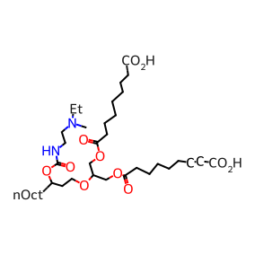 CCCCCCCCC(CCOC(COC(=O)CCCCCCCC(=O)O)COC(=O)CCCCCCCC(=O)O)OC(=O)NCCN(C)CC